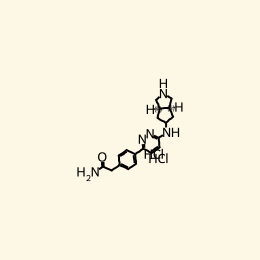 Cl.Cl.NC(=O)Cc1ccc(-c2ccc(NC3C[C@H]4CNC[C@H]4C3)nn2)cc1